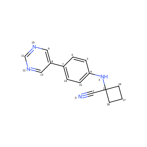 N#CC1(Nc2ccc(-c3cncnc3)cc2)CCC1